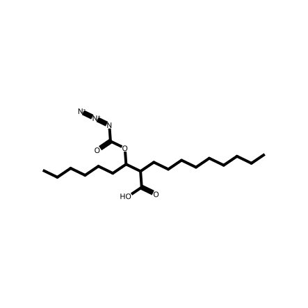 CCCCCCCCCC(C(=O)O)C(CCCCCC)OC(=O)N=[N+]=[N-]